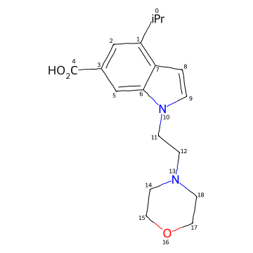 CC(C)c1cc(C(=O)O)cc2c1ccn2CCN1CCOCC1